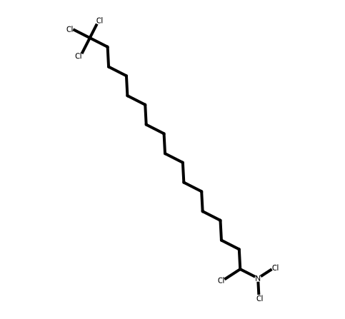 ClC(CCCCCCCCCCCCCCCC(Cl)(Cl)Cl)N(Cl)Cl